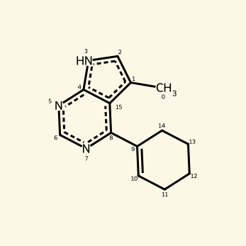 Cc1c[nH]c2ncnc(C3=CCCCC3)c12